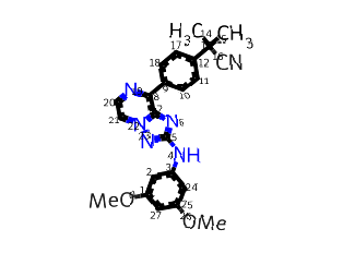 COc1cc(Nc2nc3c(-c4ccc(C(C)(C)C#N)cc4)nccn3n2)cc(OC)c1